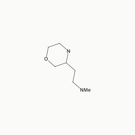 CNCCC1COCC[N]1